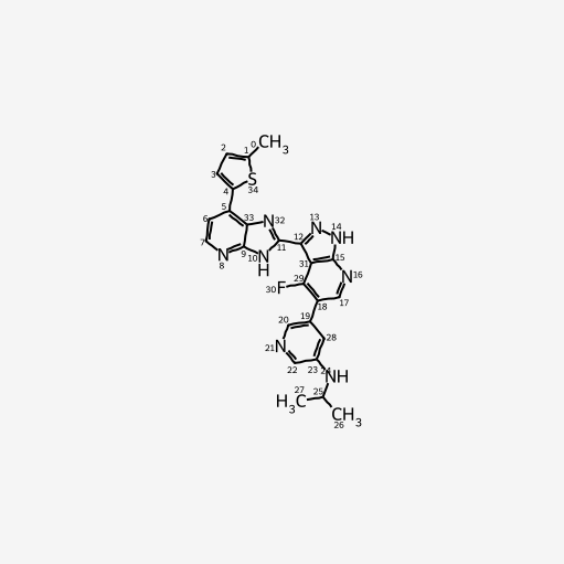 Cc1ccc(-c2ccnc3[nH]c(-c4n[nH]c5ncc(-c6cncc(NC(C)C)c6)c(F)c45)nc23)s1